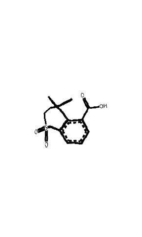 CC1(C)CS(=O)(=O)c2cccc(C(=O)O)c21